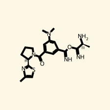 Cc1csc([C@H]2CCCN2C(=O)c2cc(C(=N)OC(=N)[C@H](C)N)cc(N(C)C)c2)n1